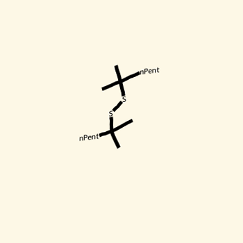 CCCCCC(C)(C)SSC(C)(C)CCCCC